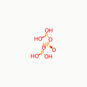 O=[PH](OP(O)O)OP(O)O